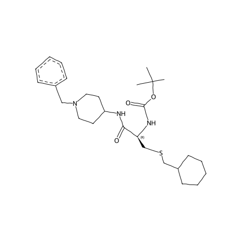 CC(C)(C)OC(=O)N[C@@H](CSCC1CCCCC1)C(=O)NC1CCN(Cc2ccccc2)CC1